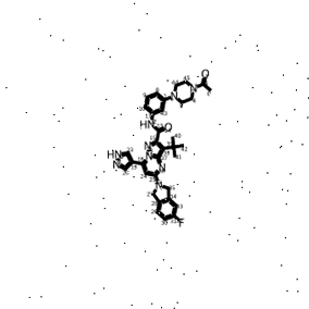 CC(=O)N1CCN(c2cccc(NC(=O)c3nn4c(-c5cn[nH]c5)cc(N5Cc6ccc(F)cc6C5)nc4c3C(C)(C)C)c2)CC1